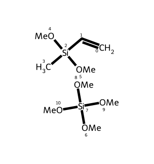 C=C[Si](C)(OC)OC.CO[Si](OC)(OC)OC